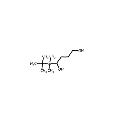 CC(C)(C)[Si](C)(C)C(O)CCCO